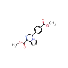 COC(=O)C1=NCC(c2ccc(C(=O)OC)cc2)n2cccc21